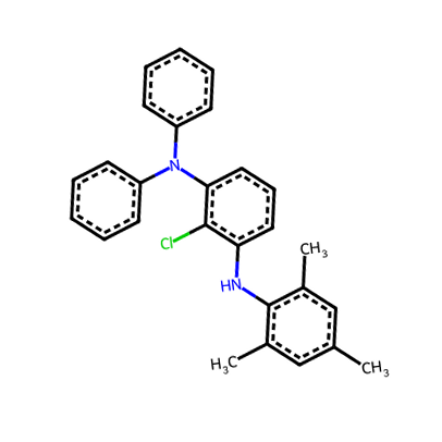 Cc1cc(C)c(Nc2cccc(N(c3ccccc3)c3ccccc3)c2Cl)c(C)c1